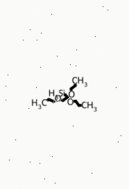 CCCOCC([SiH3])(OCCC)OCCC